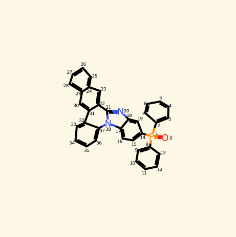 O=P(c1ccccc1)(c1ccccc1)c1ccc2c(c1)nc1c3cc4ccccc4cc3c3ccccc3n21